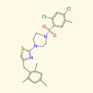 Cc1cc(C)c(Cc2csc(N3CCN(S(=O)(=O)c4cc(C)c(Cl)cc4Cl)CC3)n2)c(C)c1